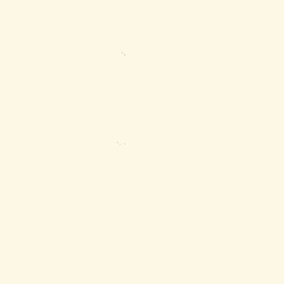 CCCCCCCCCCCCCCOC(=O)CNC.[Na]